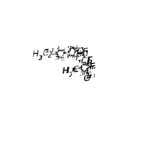 CCCc1ccc(-c2ccc(OC(F)(F)CCc3c(C)cc(C4CO4)c(F)c3F)cc2)cc1